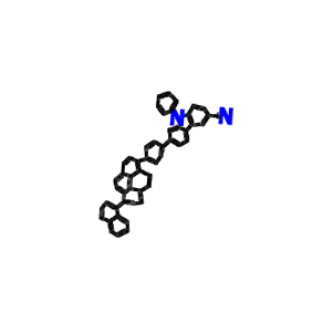 N#Cc1ccc2c(c1)c1ccc(-c3ccc(-c4ccc5ccc6c(-c7cccc8ccccc78)ccc7ccc4c5c76)cc3)cc1n2-c1ccccc1